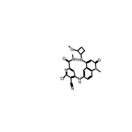 CNC(=O)c1cc(Nc2ccc3c(c2)c(NC2CCC2OC)cc(=O)n3C)c(C#N)c(Cl)n1